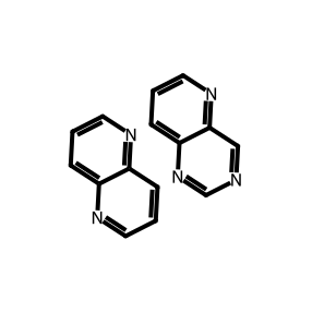 c1cnc2cccnc2c1.c1cnc2cncnc2c1